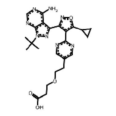 CC(C)(C)n1nc(-c2noc(C3CC3)c2-c2ncc(CCOCCC(=O)O)cn2)c2c(N)ncnc21